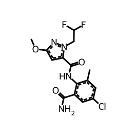 COc1cc(C(=O)Nc2c(C)cc(Cl)cc2C(N)=O)n(CC(F)F)n1